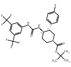 CC(C)(C)OC(=O)N1CC[C@@H](NC(=O)Nc2cc(C(F)(F)F)cc(C(F)(F)F)c2)[C@H](c2ccc(F)cc2)C1